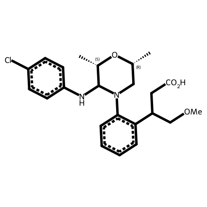 COCC(CC(=O)O)c1ccccc1N1C[C@@H](C)O[C@@H](C)C1Nc1ccc(Cl)cc1